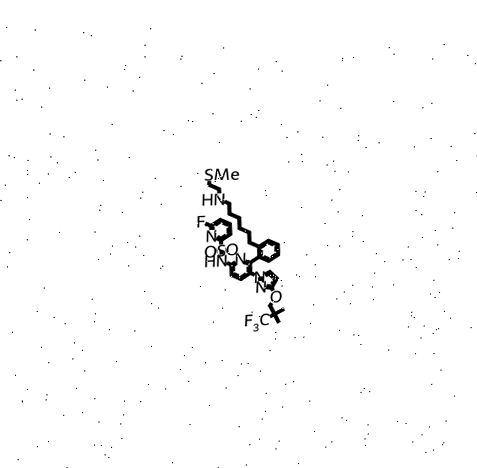 CSCCNCCCCCCc1ccccc1-c1nc(NS(=O)(=O)c2cccc(F)n2)ccc1-n1ccc(OCC(C)(C)C(F)(F)F)n1